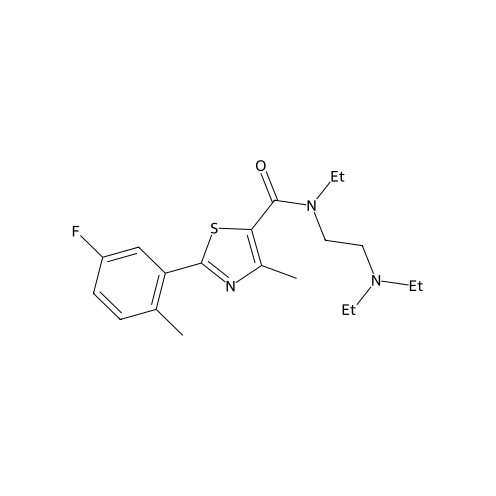 CCN(CC)CCN(CC)C(=O)c1sc(-c2cc(F)ccc2C)nc1C